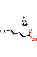 C/C=C/C=C/C(=O)O.[H+].[NaH].[NaH]